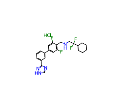 Cl.Fc1cc(-c2cccc(-c3nc[nH]n3)c2)cc(F)c1CNCC(F)(F)C1CCCCC1